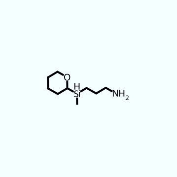 C[SiH](CCCN)C1CCCCO1